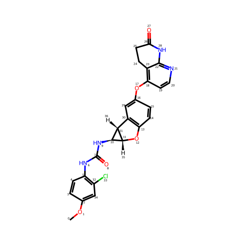 COc1ccc(NC(=O)N[C@@H]2[C@H]3Oc4ccc(Oc5ccnc6c5CCC(=O)N6)cc4[C@@H]23)c(Cl)c1